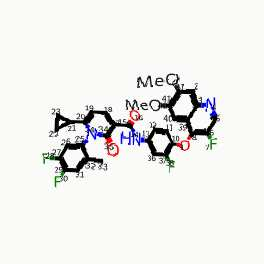 COc1cc2ncc(F)c(Oc3ccc(NC(=O)c4ccc(C5CC5)n(-c5cc(F)c(F)cc5C)c4=O)cc3F)c2cc1OC